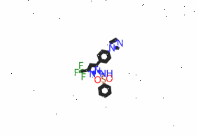 O=S(=O)(Nn1nc(C(F)(F)F)cc1-c1ccc(-n2ccnc2)cc1)c1ccccc1